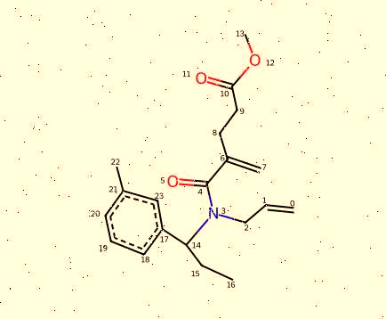 C=CCN(C(=O)C(=C)CCC(=O)OC)C(CC)c1cccc(C)c1